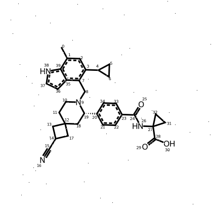 Cc1cc(C2CC2)c(CN2CCC3(CC(C#N)C3)C[C@H]2c2ccc(C(=O)NC3(C(=O)O)CC3)cc2)c2cc[nH]c12